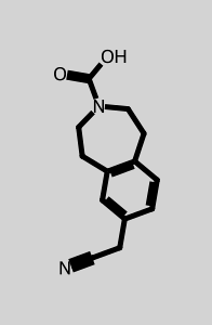 N#CCc1ccc2c(c1)CCN(C(=O)O)CC2